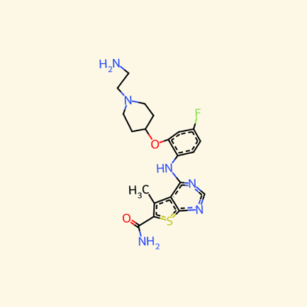 Cc1c(C(N)=O)sc2ncnc(Nc3ccc(F)cc3OC3CCN(CCN)CC3)c12